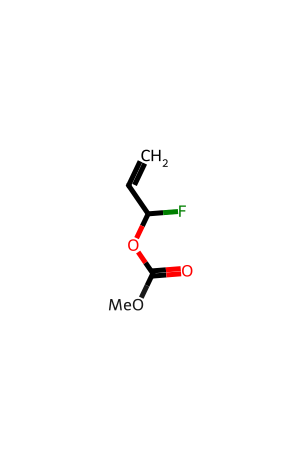 C=CC(F)OC(=O)OC